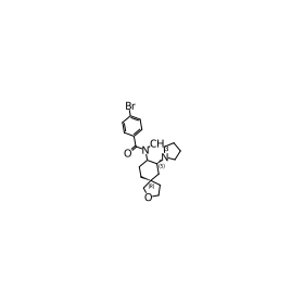 CN(C(=O)c1ccc(Br)cc1)C1CC[C@]2(CCOC2)C[C@@H]1N1CCCC1